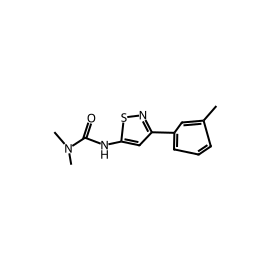 Cc1cccc(-c2cc(NC(=O)N(C)C)sn2)c1